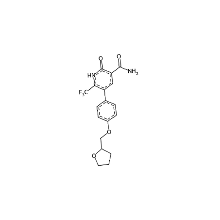 NC(=O)c1cc(-c2ccc(OCC3CCCO3)cc2)c(C(F)(F)F)[nH]c1=O